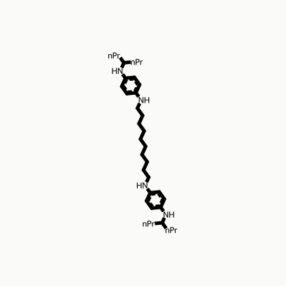 CCCC(CCC)Nc1ccc(NCCCCCCCCCCNc2ccc(NC(CCC)CCC)cc2)cc1